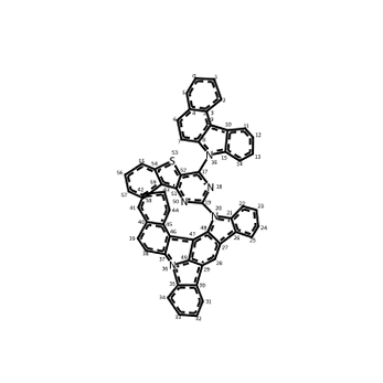 c1ccc2c(c1)ccc1c2c2ccccc2n1-c1nc(-n2c3ccccc3c3cc4c5ccccc5n5c6ccc7ccccc7c6c(c32)c45)nc2c1sc1ccccc12